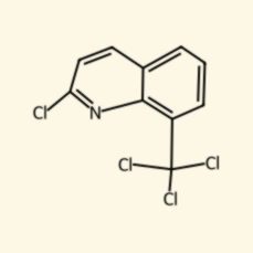 Clc1ccc2cccc(C(Cl)(Cl)Cl)c2n1